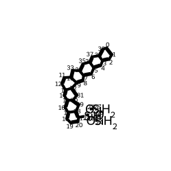 c1ccc2cc3cc4cc5c(ccc6cc7cc8cccc([SiH]9O[SiH2]O[SiH2]O9)c8cc7cc65)cc4cc3cc2c1